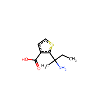 CCC(C)(N)c1sccc1C(=O)O